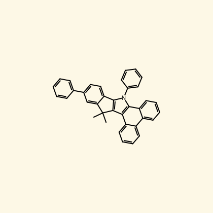 CC1(C)c2cc(-c3ccccc3)ccc2-c2c1c1c3ccccc3c3ccccc3c1n2-c1ccccc1